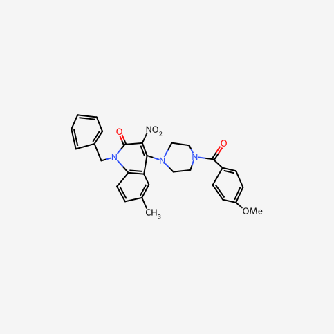 COc1ccc(C(=O)N2CCN(c3c([N+](=O)[O-])c(=O)n(Cc4ccccc4)c4ccc(C)cc34)CC2)cc1